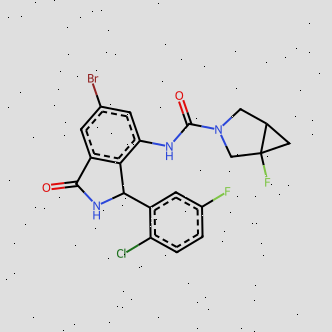 O=C1NC(c2cc(F)ccc2Cl)c2c(NC(=O)N3CC4CC4(F)C3)cc(Br)cc21